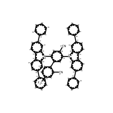 N#Cc1cc(C(F)(F)F)ccc1-c1cc(-n2c3cc(-c4ccccc4)ccc3c3ccc(-c4ccccc4)cc32)c(C#N)cc1-n1c2cc(-c3ccccc3)ccc2c2ccc(-c3ccccc3)cc21